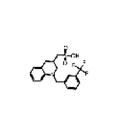 O=S(=O)(O)CC1Cc2ccccc2N(Cc2cccc(C(F)(F)F)c2)C1